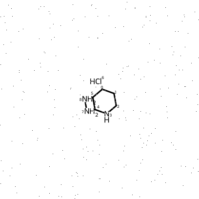 C1CCNCC1.Cl.NN